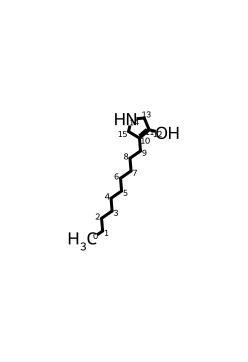 CCCCCCCCCCC1=C(O)CNC1